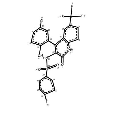 O=c1[nH]c2ccc(C(F)(F)F)cc2c(-c2cc(Cl)ccc2O)c1NS(=O)(=O)c1ccc(F)cc1